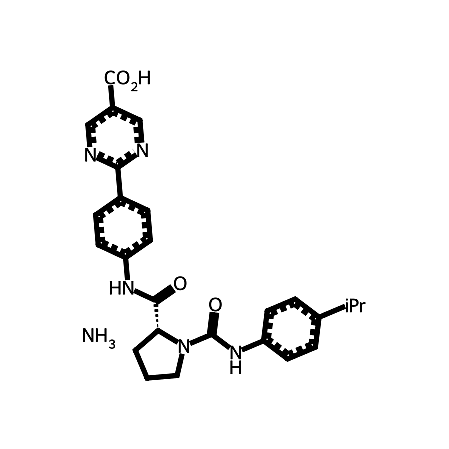 CC(C)c1ccc(NC(=O)N2CCC[C@@H]2C(=O)Nc2ccc(-c3ncc(C(=O)O)cn3)cc2)cc1.N